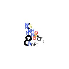 CCCN1CCCc2cc(N=Nc3nncs3)c(NS(=O)(=O)CC(F)(F)F)cc21